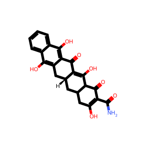 NC(=O)C1=C(O)CC2C[C@@H]3Cc4c(c(O)c5ccccc5c4O)C(=O)C3=C(O)C2C1=O